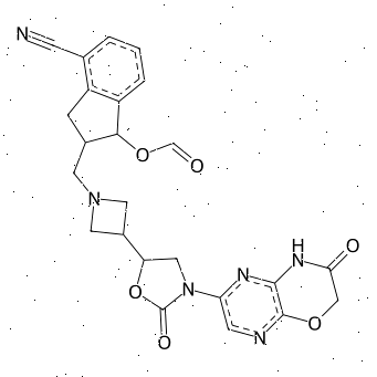 N#Cc1cccc2c1CC(CN1CC(C3CN(c4cnc5c(n4)NC(=O)CO5)C(=O)O3)C1)C2OC=O